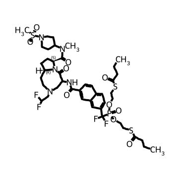 CCCC(=O)SCCOP(=O)(OCCSC(=O)CCC)C(F)(F)c1ccc2ccc(C(=O)NC3CN(CC(F)F)CC[C@H]4CC[C@@H](C(=O)N(C)C5CCN(S(C)(=O)=O)CC5)N4C3=O)cc2c1